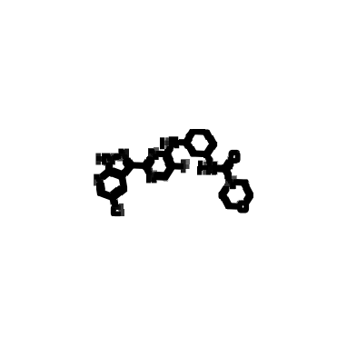 O=C(N[C@@H]1CCCC(Nc2nc(-c3n[nH]c4ncc(Cl)cc34)ncc2F)C1)N1CCOCC1